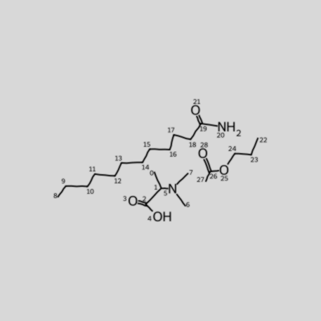 CC(C(=O)O)N(C)C.CCCCCCCCCCCC(N)=O.CCCOC(C)=O